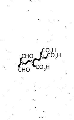 O=CCN(CC=O)CCN(CCN(CC(=O)O)CC(=O)O)CC(=O)O